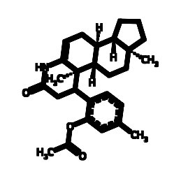 CC(=O)Oc1cc(C)ccc1C1CC(=O)NC2=CC[C@H]3[C@@H]4CCC[C@@]4(C)CC[C@@H]3[C@]21C